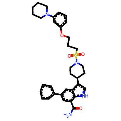 NC(=O)c1cc(-c2ccccc2)cc2c(C3CCN(S(=O)(=O)CCCOc4cccc(N5CCCCC5)c4)CC3)c[nH]c12